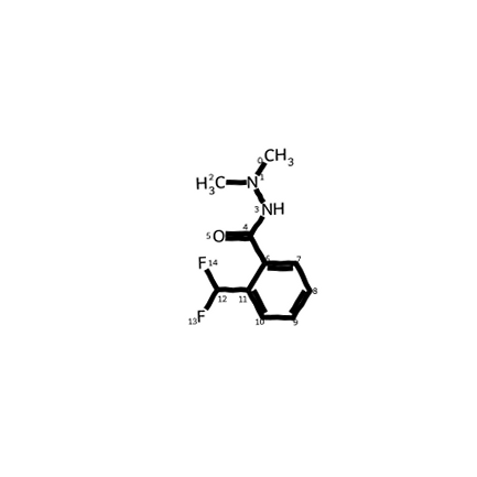 CN(C)NC(=O)c1ccccc1C(F)F